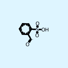 O=[C]c1ccccc1S(=O)(=O)O